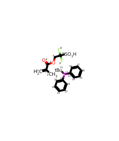 C=C(C)C(=O)OCC(F)(F)S(=O)(=O)O.CC(C)(C)I(c1ccccc1)c1ccccc1